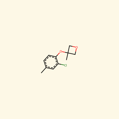 Cc1ccc(OC2(C)COC2)c(Cl)c1